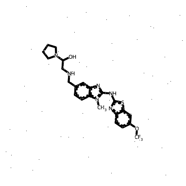 Cn1c(Nc2nc3ccc(OC(F)(F)F)cc3s2)nc2cc(CNCC(O)N3CCCC3)ccc21